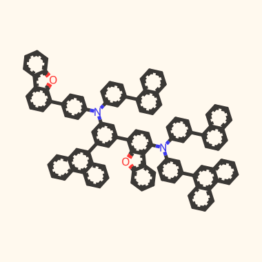 c1cc(-c2cccc3ccccc23)cc(N(c2ccc(-c3cccc4c3oc3ccccc34)cc2)c2cc(-c3cc4ccccc4c4ccccc34)cc(-c3ccc(N(c4cccc(-c5cccc6ccccc56)c4)c4cccc(-c5cc6ccccc6c6ccccc56)c4)c4c3oc3ccccc34)c2)c1